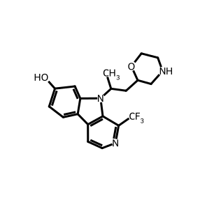 CC(CC1CNCCO1)n1c2cc(O)ccc2c2ccnc(C(F)(F)F)c21